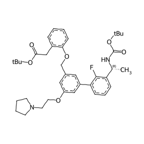 C[C@@H](NC(=O)OC(C)(C)C)c1cccc(-c2cc(COc3ccccc3CC(=O)OC(C)(C)C)cc(OCCN3CCCC3)c2)c1F